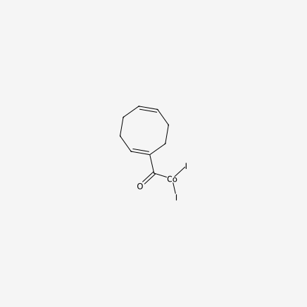 O=[C](C1=CCCC=CCC1)[Co]([I])[I]